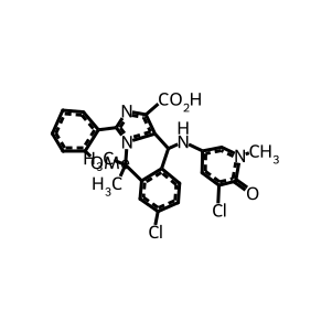 COc1ccccc1-c1nc(C(=O)O)c2n1C(C)(C)c1cc(Cl)ccc1C2Nc1cc(Cl)c(=O)n(C)c1